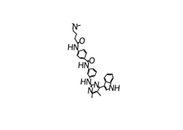 Cc1nc(Nc2cccc(NC(=O)c3ccc(NC(=O)CCCN(C)C)cc3)c2)nc(-c2c[nH]c3ccccc23)c1C